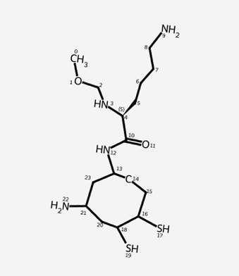 COCN[C@@H](CCCCN)C(=O)NC1CCC(S)C(S)CC(N)C1